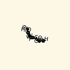 Cc1ccc(-c2ccc(C(=O)NC(Cc3ccc(-c4noc(-c5ccc(NC(=O)C(C)C)cc5)n4)c(F)c3)C(=O)O)o2)cc1